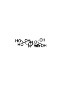 CCC[C@@H](O[C@H](CO)[C@@H](O)CO)c1cnc(C[C@H](O)[C@H](O)CO)cn1